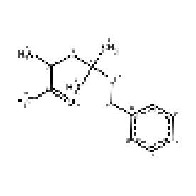 CC(=O)C(C)CC(C)(C)OCc1ccccc1